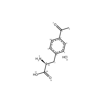 CC(=O)c1ccc(C[C@H](N)C(=O)O)cc1.Cl